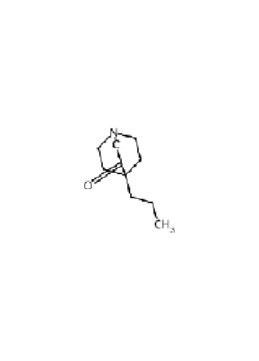 CCCC12CCN(CC1)CC2=O